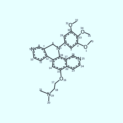 COc1cc(N2Cc3cnccc3-c3cc(OCCN(C)C)c4ccncc4c32)cc(OC)c1OC